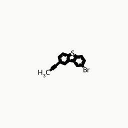 CC#Cc1ccc2sc3ccc(Br)cc3c2c1